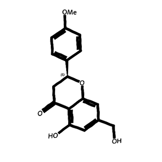 COc1ccc([C@@H]2CC(=O)c3c(O)cc(CO)cc3O2)cc1